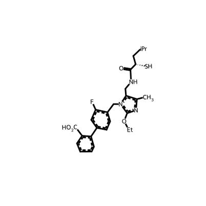 CCOc1nc(C)c(CNC(=O)[C@@H](S)CC(C)C)n1Cc1ccc(-c2ccccc2C(=O)O)cc1F